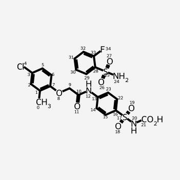 Cc1cc(Cl)ccc1OCC(=O)Nc1ccc(S(=O)(=O)NC(=O)O)cc1.NS(=O)(=O)c1ccccc1F